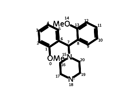 COc1ccccc1C(c1ccccc1OC)N1CC[N]CC1